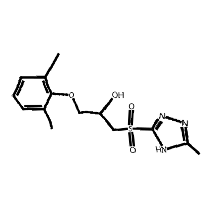 Cc1nnc(S(=O)(=O)CC(O)COc2c(C)c[c]cc2C)[nH]1